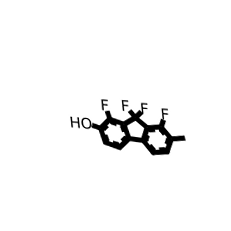 Cc1ccc2c(c1F)C(F)(F)c1c-2ccc(O)c1F